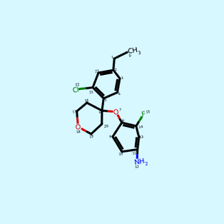 CCc1ccc(C2(Oc3ccc(N)cc3F)CCOCC2)c(Cl)c1